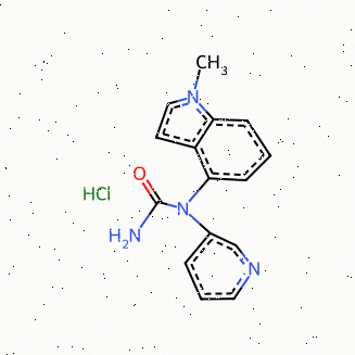 Cl.Cn1ccc2c(N(C(N)=O)c3cccnc3)cccc21